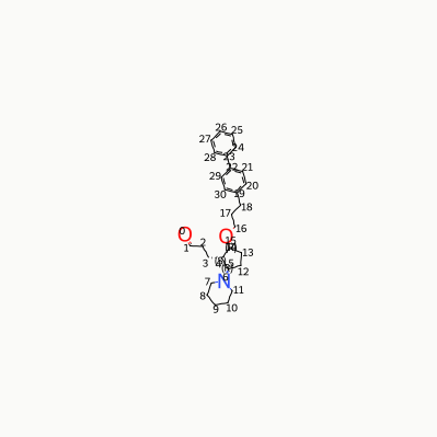 O=CCC[C@H]1[C@H](N2CCCCC2)CC[C@H]1OCCCc1ccc(-c2ccccc2)cc1